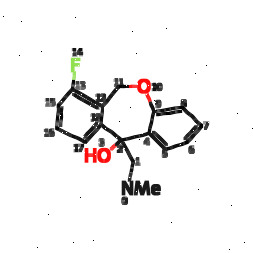 CNCC1(O)c2ccccc2OCc2c(F)cccc21